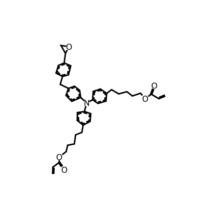 C=CC(=O)OCCCCCc1ccc(N(c2ccc(CCCCCOC(=O)C=C)cc2)c2ccc(Cc3ccc(C4CO4)cc3)cc2)cc1